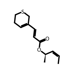 C/C=C\[C@@H](C)OC(=O)/C=C/C1=CCCSC1